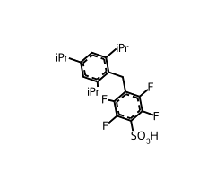 CC(C)c1cc(C(C)C)c(Cc2c(F)c(F)c(S(=O)(=O)O)c(F)c2F)c(C(C)C)c1